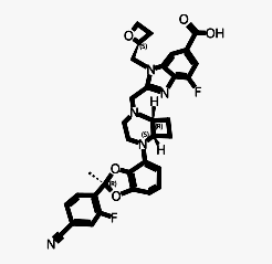 C[C@@]1(c2ccc(C#N)cc2F)Oc2cccc(N3CCN(Cc4nc5c(F)cc(C(=O)O)cc5n4C[C@@H]4CCO4)[C@@H]4CC[C@@H]43)c2O1